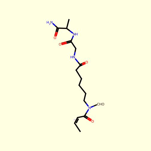 C/C=C\C(=O)N(C=O)CCCCCC(=O)NCC(=O)NC(C)C(N)=O